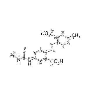 Cc1ccc(/C=C/c2ccc(NC(=S)NC(C)C)cc2C(=O)O)c(C(=O)O)c1